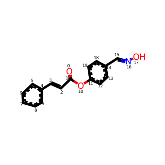 O=C(C=Cc1ccccc1)Oc1ccc(C=NO)cc1